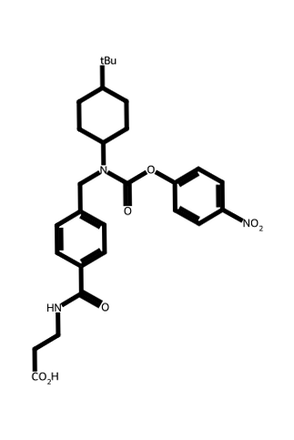 CC(C)(C)C1CCC(N(Cc2ccc(C(=O)NCCC(=O)O)cc2)C(=O)Oc2ccc([N+](=O)[O-])cc2)CC1